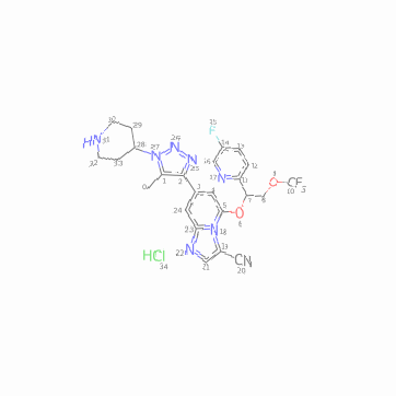 Cc1c(-c2cc(OC(COC(F)(F)F)c3ccc(F)cn3)n3c(C#N)cnc3c2)nnn1C1CCNCC1.Cl